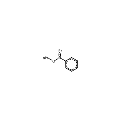 CCCO[SiH](CC)c1ccccc1